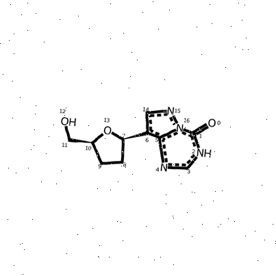 O=c1[nH]cnc2c([C@H]3CC[C@@H](CO)O3)cnn12